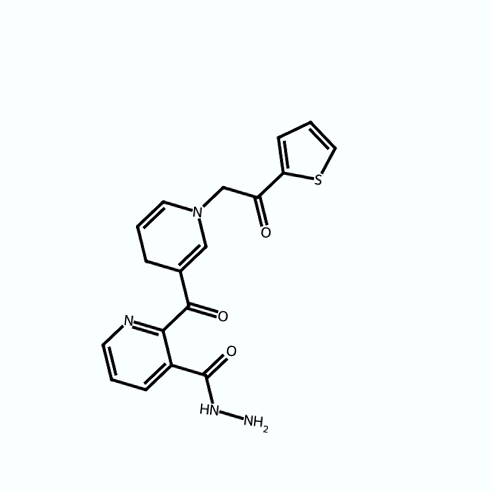 NNC(=O)c1cccnc1C(=O)C1=CN(CC(=O)c2cccs2)C=CC1